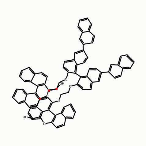 OCCOc1ccc2ccccc2c1-c1c(OCCOc2ccc3cc(-c4ccc5ccccc5c4)ccc3c2-c2c(OCCOc3ccc4ccccc4c3-c3c(OCCO)ccc4ccccc34)ccc3cc(-c4ccc5ccccc5c4)ccc23)ccc2ccccc12